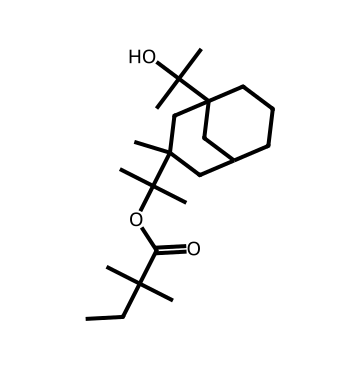 CCC(C)(C)C(=O)OC(C)(C)C1(C)CC2CCCC(C(C)(C)O)(C2)C1